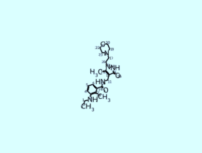 CCNc1cccc(C(=O)NCc2c(C)n(CCN3CCOCC3)[nH]c2=O)c1C